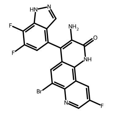 Nc1c(-c2cc(F)c(F)c3[nH]ncc23)c2cc(Br)c3ncc(F)cc3c2[nH]c1=O